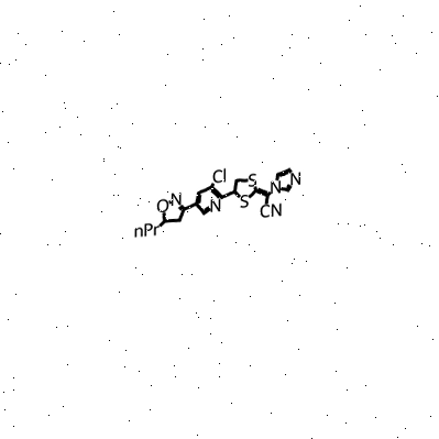 CCCC1CC(c2cnc(C3CSC(=C(C#N)n4ccnc4)S3)c(Cl)c2)=NO1